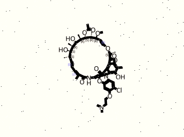 CO[C@H]1/C=C/O[C@@]2(C)Oc3c(C)c(O)c4c(=O)c(c5oc6cc(OCCN(C)C)c(Cl)cc6nc-5c4c3C2=O)NC(=O)/C(C)=C\C=C\[C@H](C)[C@H](O)[C@@H](C)[C@@H](O)[C@@H](C)[C@H](OC(C)=O)[C@@H]1C